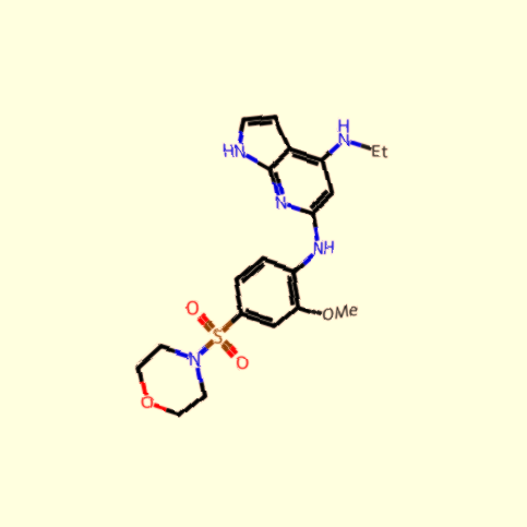 CCNc1cc(Nc2ccc(S(=O)(=O)N3CCOCC3)cc2OC)nc2[nH]ccc12